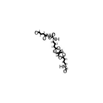 O=CCCC(=O)NOC(=O)NCCCC1OCC2(COC(CCCNC=O)OC2)CO1